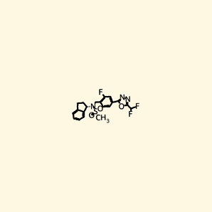 CS(=O)(=O)N(Cc1ccc(-c2nnc(C(F)F)o2)cc1F)[C@H]1CCc2ccccc21